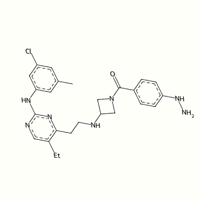 CCc1cnc(Nc2cc(C)cc(Cl)c2)nc1CCNC1CN(C(=O)c2ccc(NN)cc2)C1